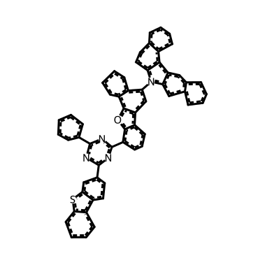 c1ccc(-c2nc(-c3ccc4c(c3)sc3ccccc34)nc(-c3cccc4c3oc3c5ccccc5c(-n5c6cc7ccccc7cc6c6c7ccccc7ccc65)cc43)n2)cc1